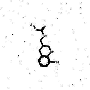 CC(C)(C)OC(=O)NCC1CNc2c(N)cccc2C1